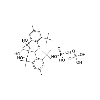 Cc1cc(C(C)(C)C)c(OC(c2c(C(C)(C)C)cc(C)cc2C(C)(C)C)C(CO)(CO)CO)c(C(C)(C)C)c1.O=P(O)(O)O.O=P(O)(O)O